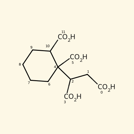 O=C(O)CC(C(=O)O)C1(C(=O)O)CCCCC1C(=O)O